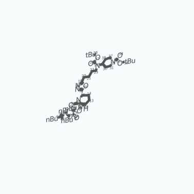 CCCCN(OS(=O)(=O)ON1C(=O)N2C[C@@H]1CC[C@H]2c1nnc(CCCCN(C(=O)OC(C)(C)C)C2CCN(C(=O)OC(C)(C)C)CC2)o1)C(CCC)(CCCC)CCCC